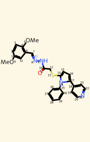 COc1ccc(OC)c(/C=N/NC(=O)CSc2ccc(-c3ccncc3)n2-c2ccccc2)c1